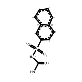 [NH]C(=O)NS(=O)(=O)c1ccc2ccccc2c1